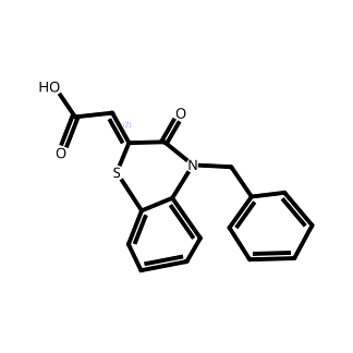 O=C(O)/C=C1\Sc2ccccc2N(Cc2ccccc2)C1=O